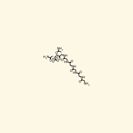 NCC(=O)NCC(=O)NCC(=O)NCC(=O)NCC(=O)N[C@@H](CC(N)=O)C(=O)N[C@@H](CC(N)=O)C(=O)O